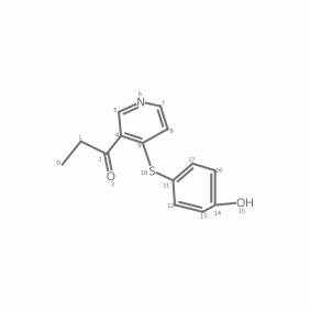 CCC(=O)c1cnccc1Sc1ccc(O)cc1